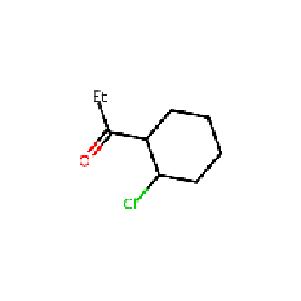 CCC(=O)C1CCCCC1Cl